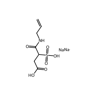 C=CCNC(=O)C(CC(=O)O)S(=O)(=O)O.[Na].[Na]